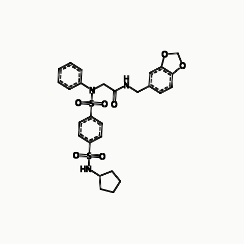 O=C(CN(c1ccccc1)S(=O)(=O)c1ccc(S(=O)(=O)NC2CCCC2)cc1)NCc1ccc2c(c1)OCO2